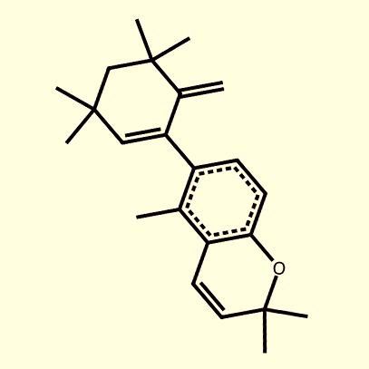 C=C1C(c2ccc3c(c2C)C=CC(C)(C)O3)=CC(C)(C)CC1(C)C